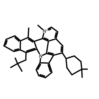 Cc1c2ccccc2c(CC(C)(C)C)c2c1c1c3c(cc[n+]1C)cc(C1CCC(C)(C)CC1)c1c4ccccc4n2c13